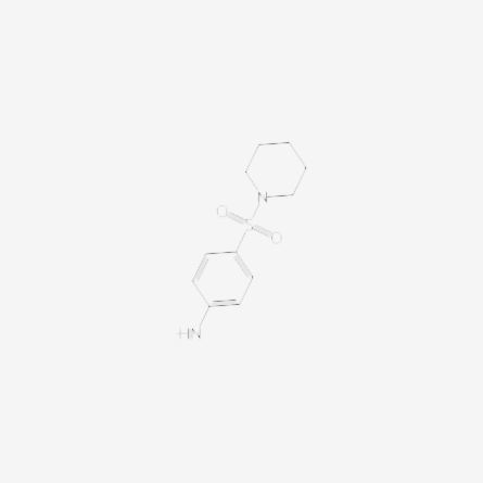 [NH]c1ccc(S(=O)(=O)N2CCCCC2)cc1